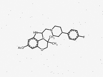 CC(=O)Oc1cc2c3c(c1)OCC(C)(C)N3C(CN1CCC(c3ccc(F)cc3)CC1)N2